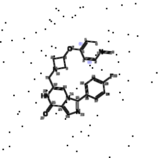 C=N/C=C\C(=C/C)OC1CN(Cc2cn3c(-c4ccc(F)cc4)ncc3c(=O)[nH]2)C1